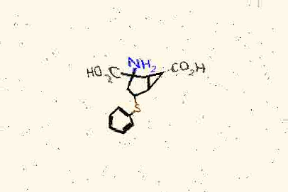 NC1(C(=O)O)CC(Sc2ccccc2)C2C1[C@@H]2C(=O)O